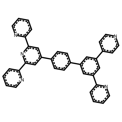 c1ccc(-c2cc(-c3ccncc3)cc(-c3ccc(-c4cc(-c5ccccn5)nc(-c5ccccn5)c4)cc3)c2)nc1